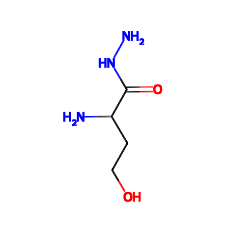 NNC(=O)C(N)CCO